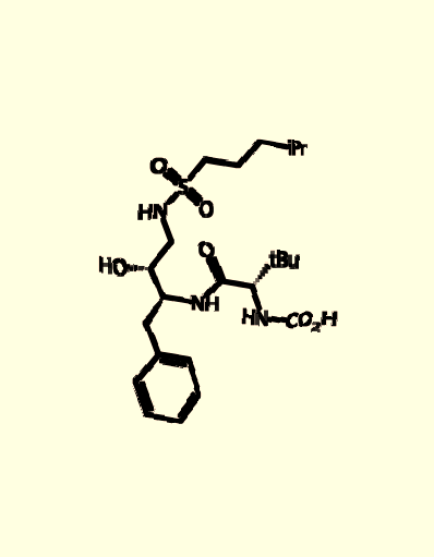 CC(C)CCCS(=O)(=O)NC[C@@H](O)[C@H](Cc1ccccc1)NC(=O)[C@@H](NC(=O)O)C(C)(C)C